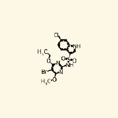 CCOc1nc(NS(=O)(=O)c2c[nH]c3cc(Cl)ccc23)nc(OC)c1Br